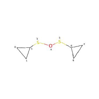 C1CC1SOSC1CC1